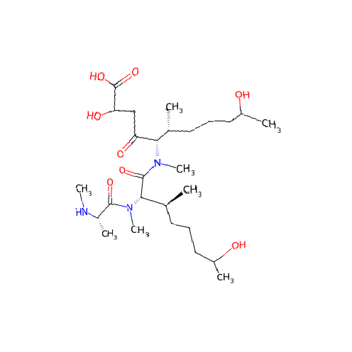 CN[C@@H](C)C(=O)N(C)[C@H](C(=O)N(C)[C@H](C(=O)CC(O)C(=O)O)[C@H](C)CCCC(C)O)[C@@H](C)CCCC(C)O